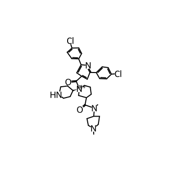 CN1CCC(N(C)C(=O)C2CCC[N@+](C(=O)c3cc(-c4ccc(Cl)cc4)nc(-c4ccc(Cl)cc4)c3)(C3CCNCC3)C2)CC1